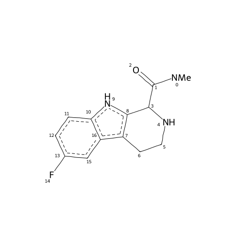 CNC(=O)C1NCCc2c1[nH]c1ccc(F)cc21